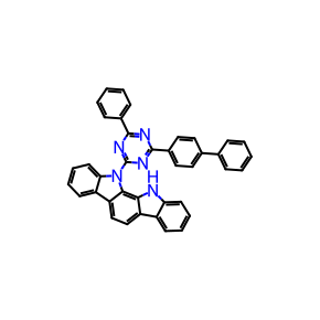 c1ccc(-c2ccc(-c3nc(-c4ccccc4)nc(-n4c5ccccc5c5ccc6c7ccccc7[nH]c6c54)n3)cc2)cc1